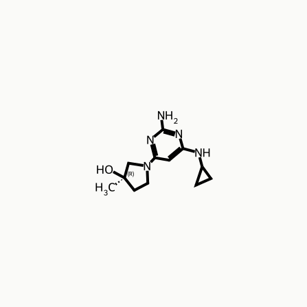 C[C@@]1(O)CCN(c2cc(NC3CC3)nc(N)n2)C1